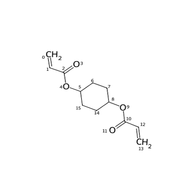 C=CC(=O)OC1CCC(OC(=O)C=C)CC1